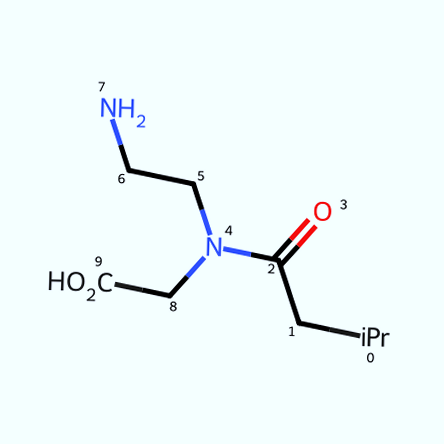 CC(C)CC(=O)N(CCN)CC(=O)O